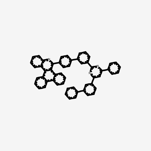 c1ccc(-c2cccc(-c3cc(-c4ccccc4)nc(-c4cccc(-c5ccc(-c6nc7ccccc7c7c8ccccc8c8ccccc8c67)cc5)c4)n3)c2)cc1